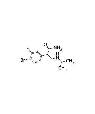 CC(C)NCC(C(N)=O)c1ccc(Br)c(F)c1